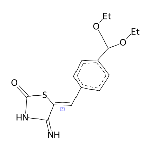 CCOC(OCC)c1ccc(/C=C2\SC(=O)NC2=N)cc1